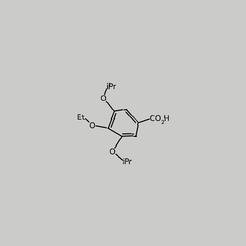 CCOc1c(OC(C)C)cc(C(=O)O)cc1OC(C)C